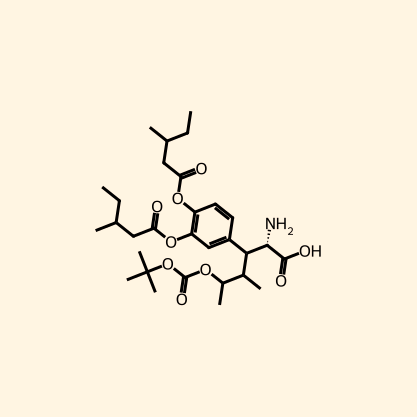 CCC(C)CC(=O)Oc1ccc(C(C(C)C(C)OC(=O)OC(C)(C)C)[C@H](N)C(=O)O)cc1OC(=O)CC(C)CC